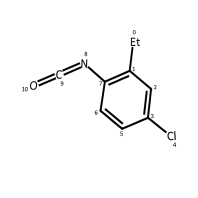 CCc1cc(Cl)ccc1N=C=O